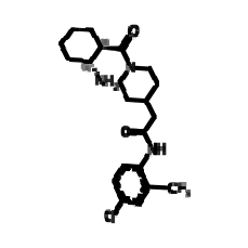 N[C@@H]1CCCC[C@H]1C(=O)N1CCC(CC(=O)Nc2ccc(Cl)cc2C(F)(F)F)CC1